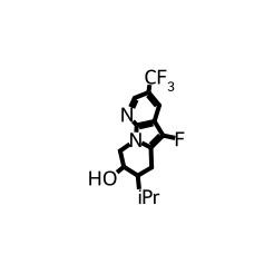 CC(C)C1Cc2c(F)c3cc(C(F)(F)F)cnc3n2CC1O